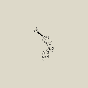 O.O.O.OS.[NaH]